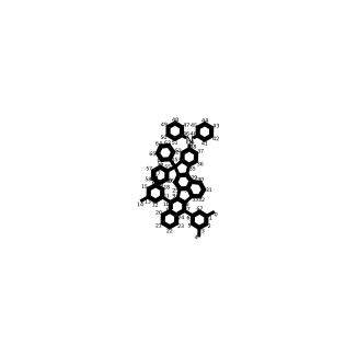 Cc1cc(C)cc(-c2c3c(c(-c4cc(C)cc(C)c4)c4ccccc24)-c2cc4c(c5cccc-3c25)-c2ccc(N(c3ccccc3)c3ccccc3)cc2C4(c2ccccc2)c2ccccc2)c1